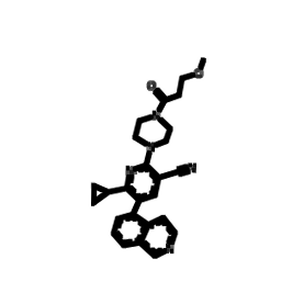 COCCC(=O)N1CCN(c2nc(C3CC3)c(-c3cccc4cnccc34)cc2C#N)CC1